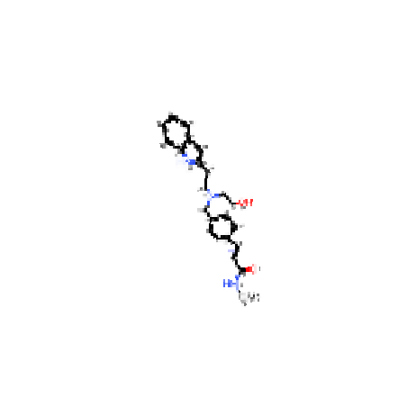 CONC(=O)/C=C/c1ccc(CN(CCO)CCc2cc3ccccc3[nH]2)cc1